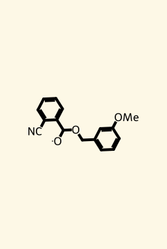 COc1cccc(COC([O])c2ccccc2C#N)c1